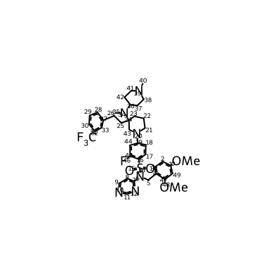 COc1ccc(CN(c2ccncn2)S(=O)(=O)c2ccc(N3CCCC(CCc4cccc(C(F)(F)F)c4)(N(C)C4CCN(C)CC4)C3)cc2F)c(OC)c1